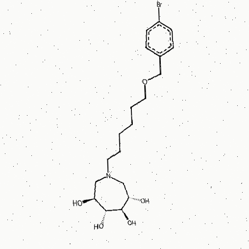 O[C@H]1[C@H](O)[C@@H](O)CN(CCCCCCOCc2ccc(Br)cc2)C[C@@H]1O